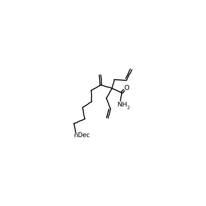 C=CCC(CC=C)(C(=C)CCCCCCCCCCCCCCC)C(N)=O